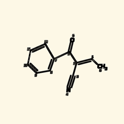 CC=C(C#N)C(=O)c1ccccc1